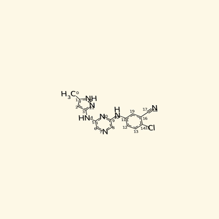 Cc1cc(Nc2cncc(Nc3ccc(Cl)c(C#N)c3)n2)n[nH]1